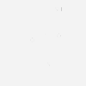 O=C(CS)Oc1cccs1